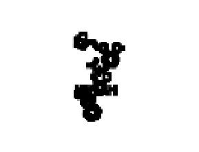 COc1ccc(C(=O)N(CC2CNCC2NS(=O)(=O)Cc2ccccc2)C(C)C)cc1OCCC1CCCO1